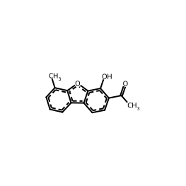 CC(=O)c1ccc2c(oc3c(C)cccc32)c1O